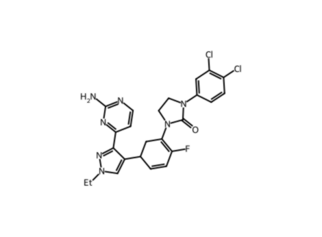 CCn1cc(C2C=CC(F)=C(N3CCN(c4ccc(Cl)c(Cl)c4)C3=O)C2)c(-c2ccnc(N)n2)n1